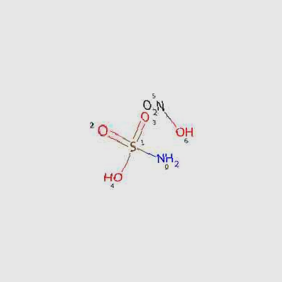 NS(=O)(=O)O.O=[N+]([O-])O